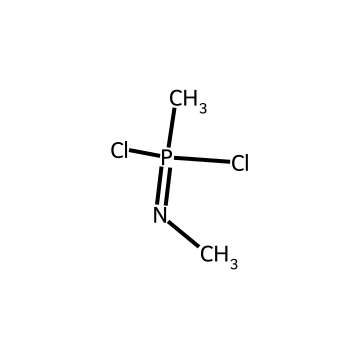 CN=P(C)(Cl)Cl